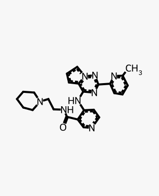 Cc1cccc(-c2nc(Nc3ccncc3C(=O)NCCN3CCCCC3)c3cccn3n2)n1